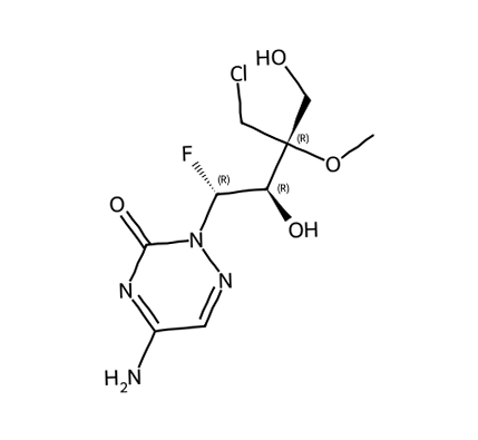 CO[C@@](CO)(CCl)[C@@H](O)[C@@H](F)n1ncc(N)nc1=O